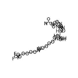 COc1cnc(-n2cnc(C(=O)NCCCNC(CO)(CO)CNC(=O)CCOCCOCCOCCOCc3cn(CCOCCOCCOCCOCCC(=O)Oc4c(F)cc(F)cc4F)nn3)n2)c2[nH]cc(C(=O)C(=O)N3CCC(=C(C#N)c4ccccc4)CC3)c12